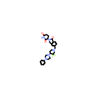 O=C1CCC(N2Cc3cc(CN4CCC(N5CCN(c6ccccc6)CC5)C(F)(F)C4)ccc3C2=O)C(=O)N1